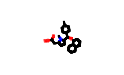 Cc1ccc(C(=O)c2ccc(CC(=O)O)n2C)cc1.c1ccc2ccccc2c1